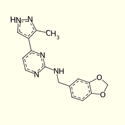 Cc1n[nH]cc1-c1ccnc(NCc2ccc3c(c2)OCO3)n1